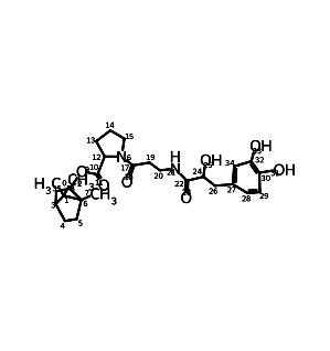 CC1(C)C2CCC1(C)C(OC(=O)C1CCCN1C(=O)CCNC(=O)C(O)Cc1ccc(O)c(O)c1)C2